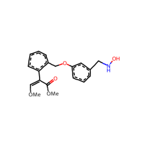 COC=C(C(=O)OC)c1ccccc1COc1cccc(CNO)c1